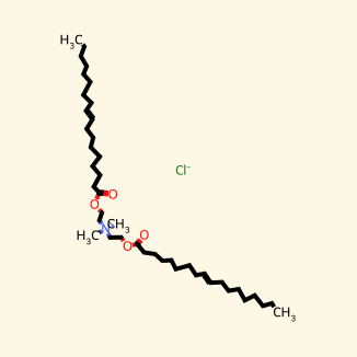 CCCCCCCCC=CCCCCCCCC(=O)OCC[N+](C)(C)CCOC(=O)CCCCCCCC=CCCCCCCCC.[Cl-]